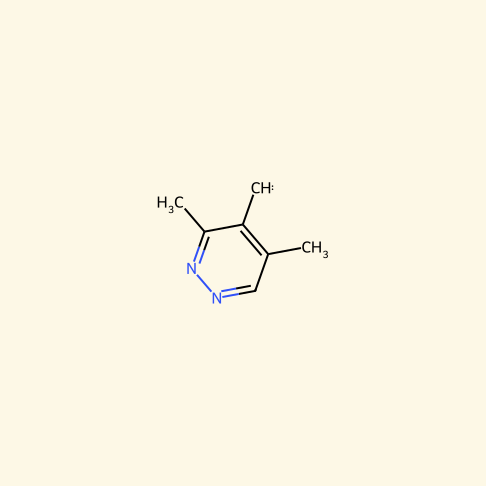 [CH]c1c(C)cnnc1C